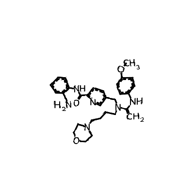 C=C(Nc1ccc(OC)cc1)N(CCCCN1CCOCC1)Cc1ccc(C(=O)Nc2ccccc2N)nc1